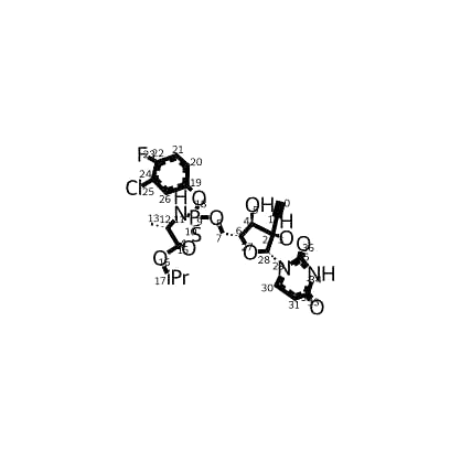 C#C[C@@]1(O)[C@H](O)[C@@H](COP(=S)(N[C@@H](C)C(=O)OC(C)C)Oc2ccc(F)c(Cl)c2)O[C@H]1n1ccc(=O)[nH]c1=O